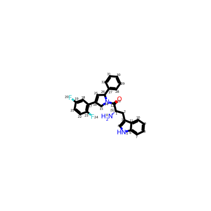 N[C@@H](Cc1c[nH]c2ccccc12)C(=O)N1CC(c2cc(F)ccc2F)=CC1c1ccccc1